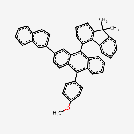 COc1ccc(-c2c3ccccc3c(-c3cccc4c3-c3ccccc3C4(C)C)c3cc(-c4ccc5ccccc5c4)ccc23)cc1